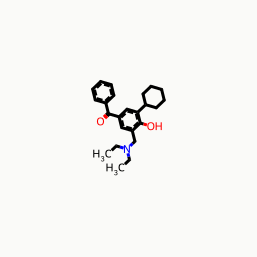 CCN(CC)Cc1cc(C(=O)c2ccccc2)cc(C2CCCCC2)c1O